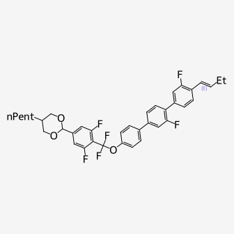 CC/C=C/c1ccc(-c2ccc(-c3ccc(OC(F)(F)c4c(F)cc(C5OCC(CCCCC)CO5)cc4F)cc3)cc2F)cc1F